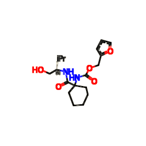 CC(C)[C@@H](CO)NC(=O)C1(NC(=O)OCc2ccco2)CCCCC1